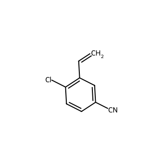 C=Cc1cc(C#N)ccc1Cl